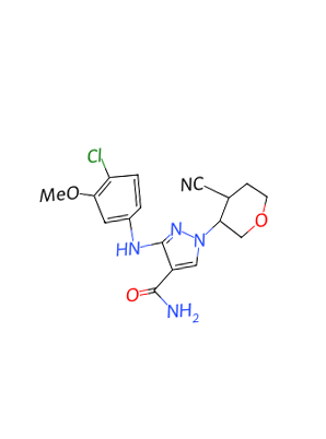 COc1cc(Nc2nn(C3COCCC3C#N)cc2C(N)=O)ccc1Cl